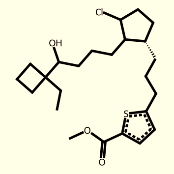 CCC1(C(O)CCCC2C(Cl)CC[C@@H]2CCCc2ccc(C(=O)OC)s2)CCC1